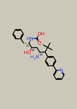 CC(C)(C)C(c1ccc(-c2ccccn2)cc1)[C@H](N)C[C@@H](O)[C@H](Cc1ccccc1)NC(=O)O